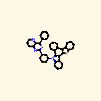 c1ccc(-c2nc(-c3cccc(-n4c5ccccc5c5c6sc7ccccc7c6c6ccccc6c54)c3)nc3cccnc23)cc1